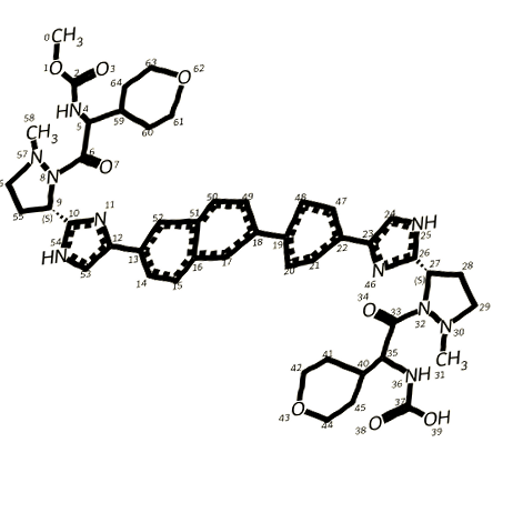 COC(=O)NC(C(=O)N1[C@H](c2nc(-c3ccc4cc(-c5ccc(-c6c[nH]c([C@@H]7CCN(C)N7C(=O)C(NC(=O)O)C7CCOCC7)n6)cc5)ccc4c3)c[nH]2)CCN1C)C1CCOCC1